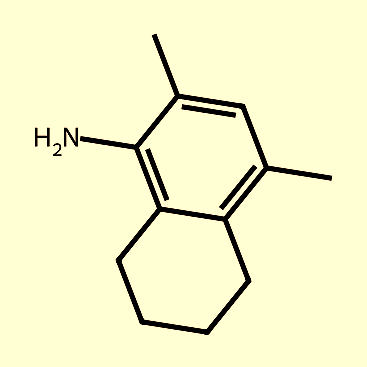 Cc1cc(C)c2c(c1N)CCCC2